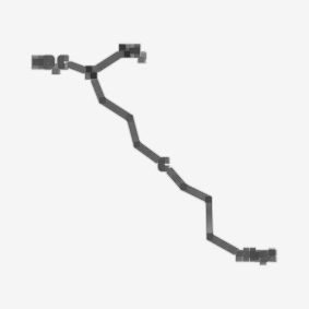 CCCCCCCCCCCCCCN(N)C(=O)O